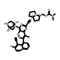 C#Cc1c(F)ccc2cccc(-c3nnc4c(N5C[C@@H]6C[C@H]5CN6)nc(C#C[C@]56CCCN5[C@@H](COC(=O)N(C)C)CC6)nc4c3F)c12